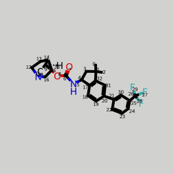 CC1(C)CC(NC(=O)O[C@H]2CN3CCC2CC3)c2ccc(-c3cccc(C(F)(F)F)c3)cc21